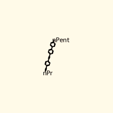 CCCC#Cc1ccc(C#Cc2ccc(-c3ccc(CCCCC)cc3)cc2)cc1